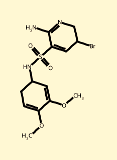 COC1=CCC(NS(=O)(=O)C2=CC(Br)CN=C2N)C=C1OC